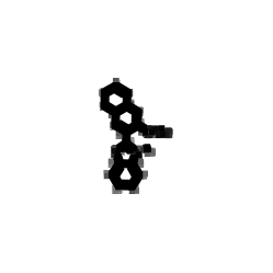 COC1=CC2C=CCCC2C=C1c1sc2ccccc2[n+]1C